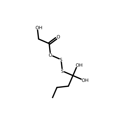 CCCC(O)(O)SSOC(=O)CO